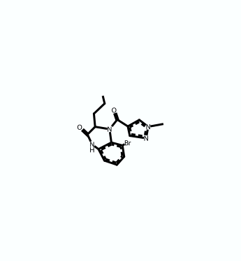 CCCC1C(=O)Nc2cccc(Br)c2N1C(=O)c1cnn(C)c1